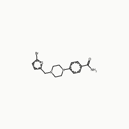 NC(=O)c1ccc(N2CCN(Cc3ccc(Br)s3)CC2)cc1